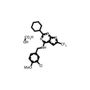 COc1ccc(CNc2nc(C3CCCCC3)nc3sc(C(F)(F)F)cc23)cc1Cl.O=C(O)O